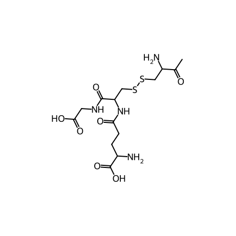 CC(=O)C(N)CSSCC(NC(=O)CCC(N)C(=O)O)C(=O)NCC(=O)O